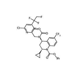 COC(=O)N(Cc1cc(C(F)(F)CF)cc(Cl)n1)[C@@H]1C[C@H](C2CC2)N(C(=O)OC(C)C)c2ccc(C(F)(F)F)cc21